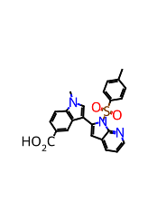 Cc1ccc(S(=O)(=O)n2c(-c3cn(C)c4ccc(C(=O)O)cc34)cc3cccnc32)cc1